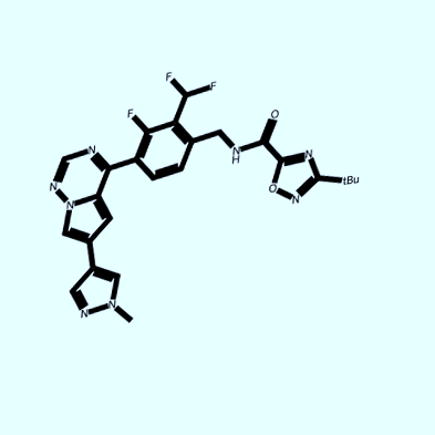 Cn1cc(-c2cc3c(-c4ccc(CNC(=O)c5nc(C(C)(C)C)no5)c(C(F)F)c4F)ncnn3c2)cn1